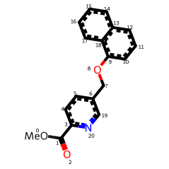 COC(=O)c1ccc(COc2cccc3ccccc23)cn1